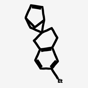 CCc1ccc2c(c1)CCC1(C2)CC2C=CC1C2